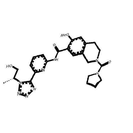 COc1cc2c(cc1C(=O)Nc1cccc(-c3nnnn3[C@H](C)CO)n1)CN(C(=O)N1CCCC1)CC2